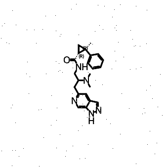 CN(C)C(CNC(=O)[C@@H]1C[C@@]1(C)c1ccccc1)Cc1cc2cn[nH]c2cn1